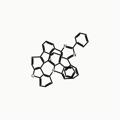 c1ccc(-c2nc(-c3ccccc3)nc(-c3cccc4c3sc3c4ccc4oc5cccc(-n6c7ccccc7c7ccccc76)c5c43)n2)cc1